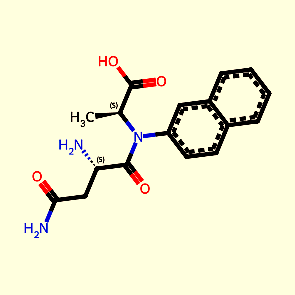 C[C@@H](C(=O)O)N(C(=O)[C@@H](N)CC(N)=O)c1ccc2ccccc2c1